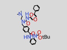 CN(C)CCN(Cc1ccc(C(=O)Nc2ccccc2NC(=O)OC(C)(C)C)cc1)C(=O)NC1=COC=C(C2=CC=CCC2)O1